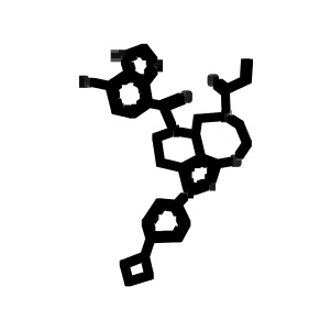 C=CC(=O)N1CCOc2nn(-c3ccc(C4CCC4)cc3)c3c2C(C1)N(C(=O)c1ccc(Br)c2[nH]cnc12)CC3